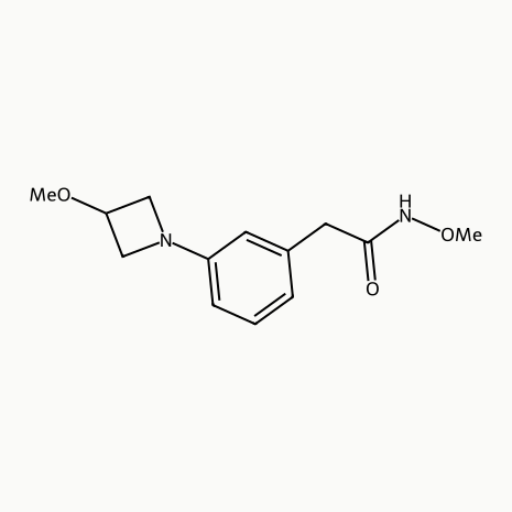 CONC(=O)Cc1cccc(N2CC(OC)C2)c1